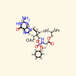 CCCC(CCC)COC(=O)[C@H](C)NP(=O)(OC[C@]1(COC(C)=O)C/C1=C/n1cnc2c(=O)[nH]c(N)nc21)Oc1ccccc1